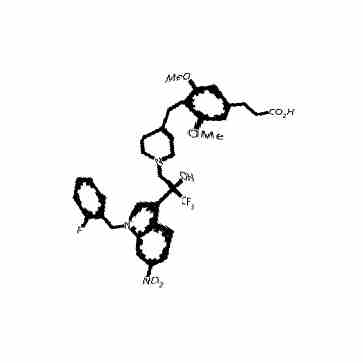 COc1cc(CCC(=O)O)cc(OC)c1CC1CCN(CC(O)(c2cn(Cc3ccccc3F)c3cc([N+](=O)[O-])ccc23)C(F)(F)F)CC1